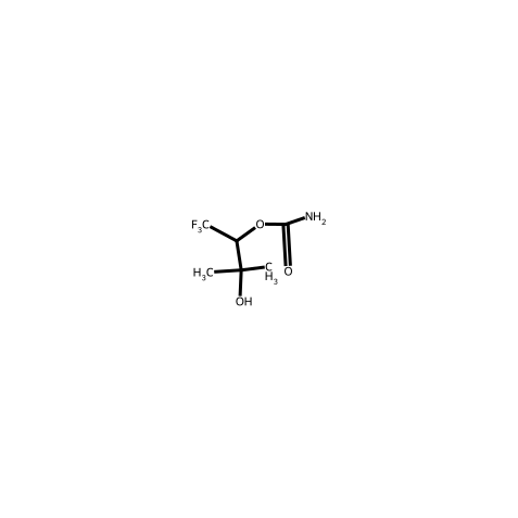 CC(C)(O)C(OC(N)=O)C(F)(F)F